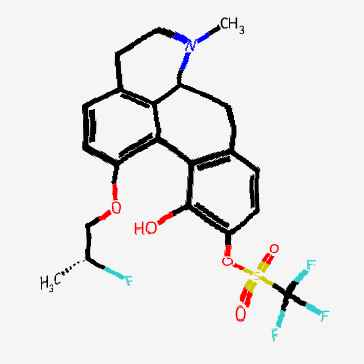 C[C@@H](F)COc1ccc2c3c1-c1c(ccc(OS(=O)(=O)C(F)(F)F)c1O)CC3N(C)CC2